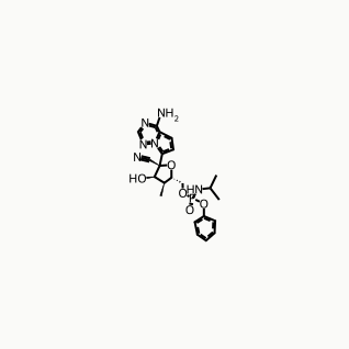 CC(C)NP(=O)(OC[C@H]1O[C@@](C#N)(c2ccc3c(N)ncnn23)[C@H](O)[C@@H]1C)Oc1ccccc1